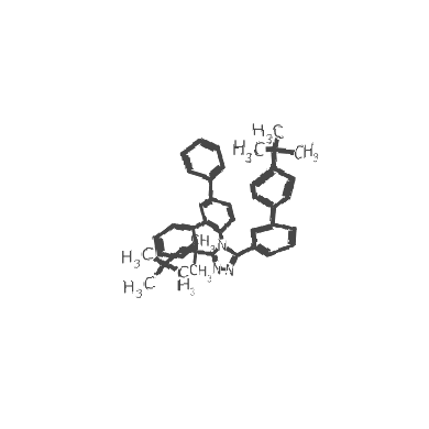 CC(C)(C)CC(C)(C)c1nnc(-c2cccc(-c3ccc(C(C)(C)C)cc3)c2)n1-c1ccc(-c2ccccc2)cc1-c1ccccc1